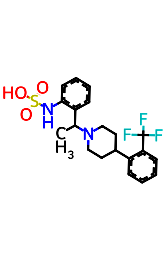 CC(c1ccccc1NS(=O)(=O)O)N1CCC(c2ccccc2C(F)(F)F)CC1